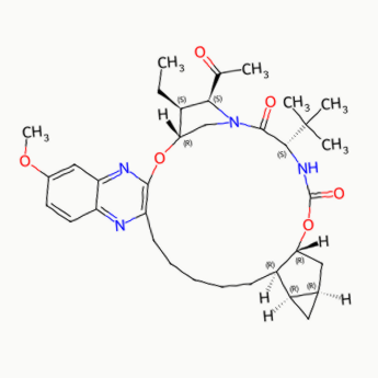 CC[C@@H]1[C@@H]2CN(C(=O)[C@H](C(C)(C)C)NC(=O)O[C@@H]3C[C@H]4C[C@H]4[C@H]3CCCCCc3nc4ccc(OC)cc4nc3O2)[C@@H]1C(C)=O